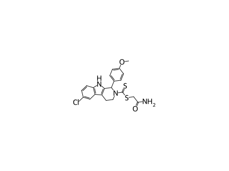 COc1ccc(C2c3[nH]c4ccc(Cl)cc4c3CCN2C(=S)SCC(N)=O)cc1